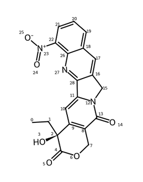 CC[C@@]1(O)C(=O)OCc2c1cc1n(c2=O)Cc2cc3cccc([N+](=O)[O-])c3nc2-1